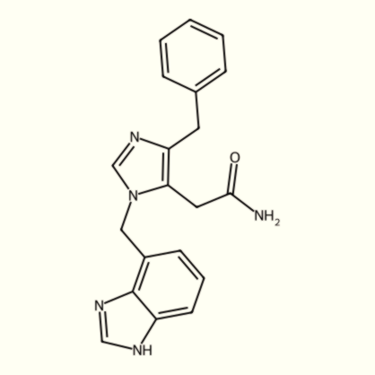 NC(=O)Cc1c(Cc2ccccc2)ncn1Cc1cccc2[nH]cnc12